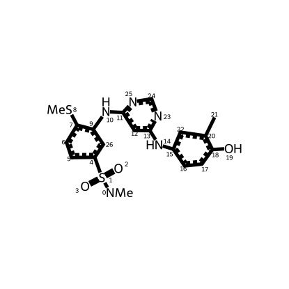 CNS(=O)(=O)c1ccc(SC)c(Nc2cc(Nc3ccc(O)c(C)c3)ncn2)c1